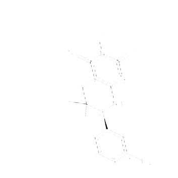 CC(C)n1c(=O)[nH]c2c(c1=O)CC(F)(F)[C@H](c1cccc(F)c1)N2